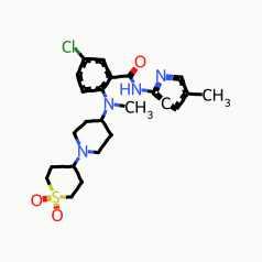 Cc1ccc(NC(=O)c2cc(Cl)ccc2N(C)C2CCN(C3CCS(=O)(=O)CC3)CC2)nc1